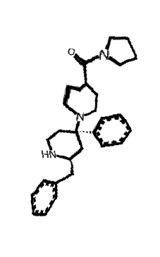 O=C(C1CCN([C@]2(c3ccccc3)CCN[C@H](Cc3ccccc3)C2)CC1)N1CCCC1